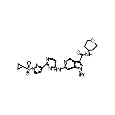 CC(C)n1cc(C(=O)NC2CCOCC2)c2cnc(Nc3ccnc(-c4ccn(S(=O)(=O)C5CC5)n4)n3)cc21